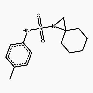 Cc1ccc(NS(=O)(=O)N2CC23CCCCC3)cc1